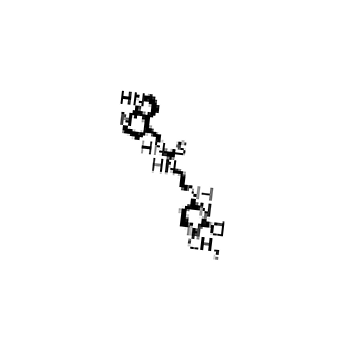 CN1C=CC(NCCNC(=S)NCc2ccnc3[nH]ccc23)=NC1Cl